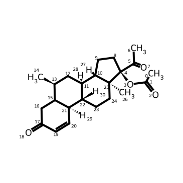 CC(=O)O[C@]1(C(C)=O)CC[C@H]2[C@@H]3C[C@H](C)C4CC(=O)C=C[C@@H]4[C@H]3CC[C@@]21C